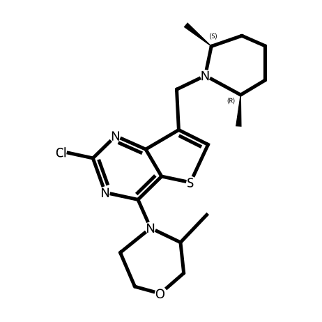 CC1COCCN1c1nc(Cl)nc2c(CN3[C@H](C)CCC[C@@H]3C)csc12